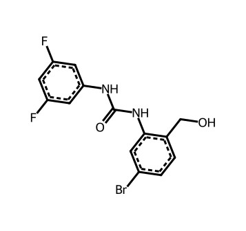 O=C(Nc1cc(F)cc(F)c1)Nc1cc(Br)ccc1CO